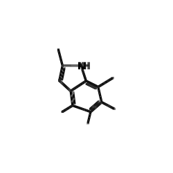 Cc1cc2c(C)c(C)c(C)c(C)c2[nH]1